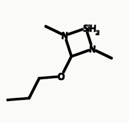 CCCOC1N(C)[SiH2]N1C